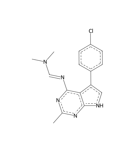 Cc1nc(/N=C/N(C)C)c2c(-c3ccc(Cl)cc3)c[nH]c2n1